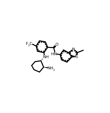 Cc1nc2cc(NC(=O)c3ccc(C(F)(F)F)cc3N[C@H]3CCCC[C@@H]3N)ccc2s1